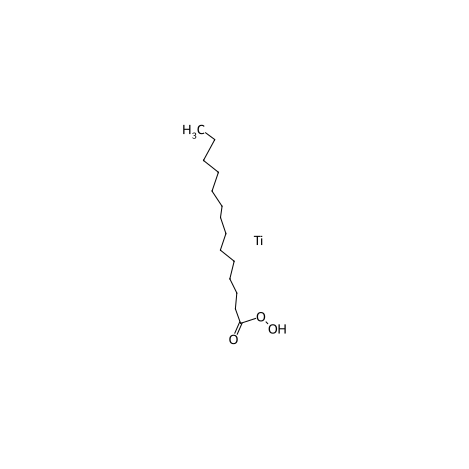 CCCCCCCCCCCCCC(=O)OO.[Ti]